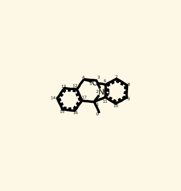 CC12NCC(Cc3ccccc31)c1ccccc12